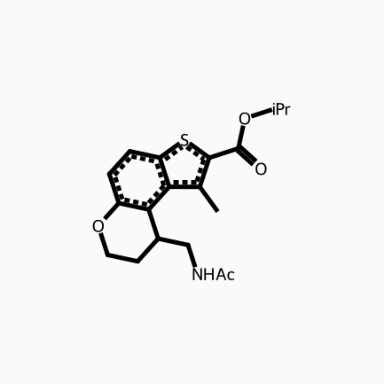 CC(=O)NCC1CCOc2ccc3sc(C(=O)OC(C)C)c(C)c3c21